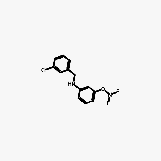 FN(F)Oc1cccc(NCc2cccc(Cl)c2)c1